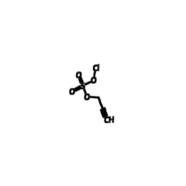 C#CCOS(=O)(=O)OCl